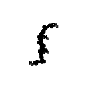 C=CC(=O)OCCCCOC(=O)CCN1CCN(c2ccc(C(=O)C(CC)(Cc3ccc(C(=O)N4CCN(C(=O)c5ccc(CC6(CCI)C(=O)c7ccc(N8CCN(CCC(=O)OCCCCOC(=O)C=C)CC8)cc7N6C)cc5)CC4)cc3)N(C)C)cc2)CC1